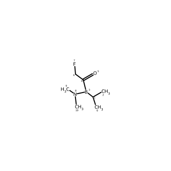 CC(C)B(C(=O)CF)N(C)C